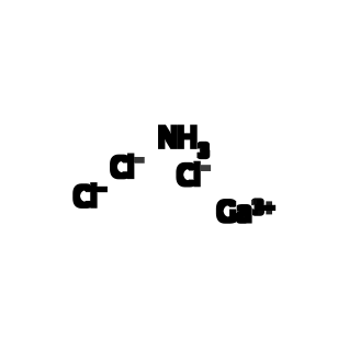 N.[Cl-].[Cl-].[Cl-].[Ga+3]